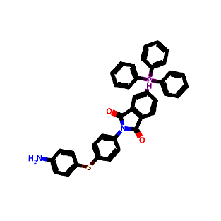 Nc1ccc(Sc2ccc(N3C(=O)c4ccc([PH](c5ccccc5)(c5ccccc5)c5ccccc5)cc4C3=O)cc2)cc1